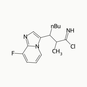 CCCCC(c1cnc2c(F)cccn12)C(C)C(=N)Cl